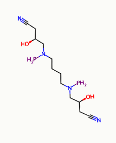 N#CC[C@H](O)CN(P)CCCCN(P)C[C@@H](O)CC#N